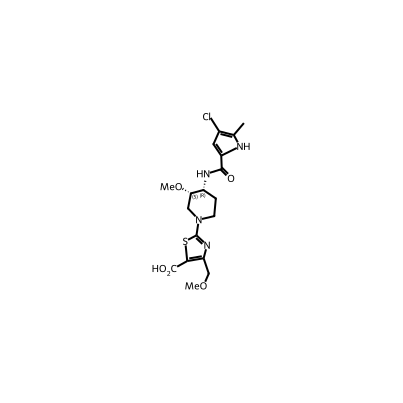 COCc1nc(N2CC[C@@H](NC(=O)c3cc(Cl)c(C)[nH]3)[C@@H](OC)C2)sc1C(=O)O